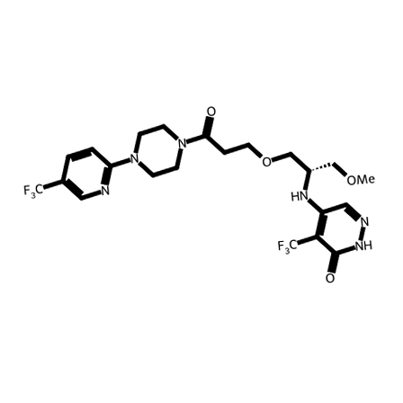 COC[C@@H](COCCC(=O)N1CCN(c2ccc(C(F)(F)F)cn2)CC1)Nc1cn[nH]c(=O)c1C(F)(F)F